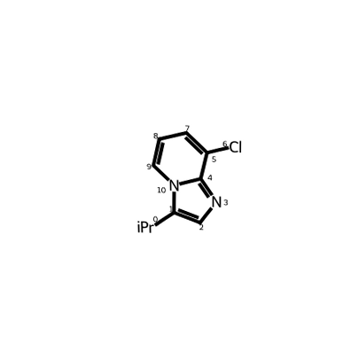 CC(C)c1cnc2c(Cl)cccn12